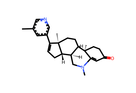 Cc1cncc(C2=CC[C@H]3[C@@H]4CN(C)C5=CC(=O)CC[C@]5(C)[C@H]4CC[C@]23C)c1